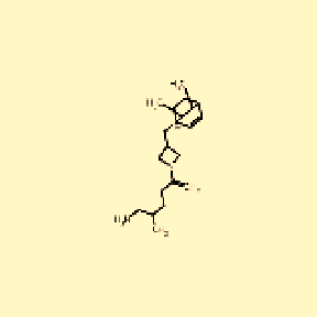 C=C(CCC(C)CN)N1CC(C[C@@]23C=CC(CC2)C(C)C3C)C1